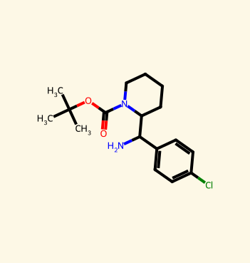 CC(C)(C)OC(=O)N1CCCCC1C(N)c1ccc(Cl)cc1